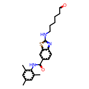 Cc1cc(C)c(NC(=O)c2ccc3nc(NCCCCCC=O)sc3c2)c(C)c1